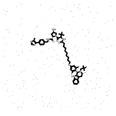 Cc1ncsc1-c1ccc(CNC(=O)[C@@H]2C[C@@H](O)CN2C(=O)C(NC(=O)CCCCCCCCCOc2cc(F)c([C@@H]3c4[nH]c5ccccc5c4C[C@@H](C)N3CC(C)(C)F)c(F)c2)C(C)(C)C)cc1